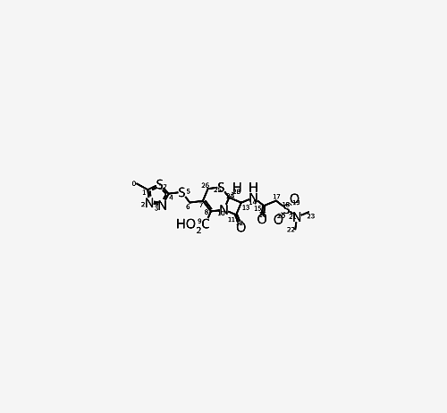 Cc1nnc(SCC2=C(C(=O)O)N3C(=O)C(NC(=O)CS(=O)(=O)N(C)C)[C@@H]3SC2)s1